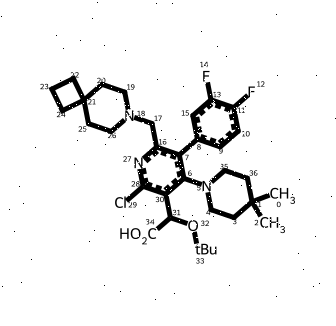 CC1(C)CCN(c2c(-c3ccc(F)c(F)c3)c(CN3CCC4(CCC4)CC3)nc(Cl)c2C(OC(C)(C)C)C(=O)O)CC1